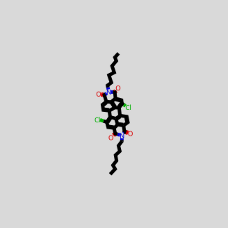 CCCCCCCCN1C(=O)c2ccc3c4c(Cl)cc5c6c(ccc(c7c(Cl)cc(c2c37)C1=O)c64)C(=O)N(CCCCCCCC)C5=O